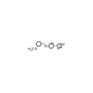 CSc1cccc(COc2ccc(-c3c[nH]nn3)nc2)c1